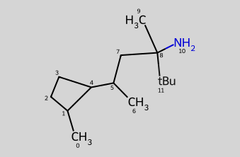 CC1CCC1C(C)CC(C)(N)C(C)(C)C